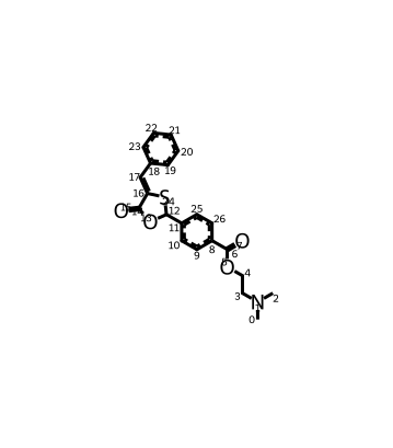 CN(C)CCOC(=O)c1ccc(C2OC(=O)C(=Cc3ccccc3)S2)cc1